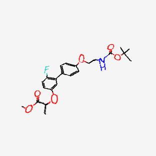 COC(=O)C(C)Oc1ccc(F)c(-c2ccc(OCCNC(=O)OC(C)(C)C)cc2)c1